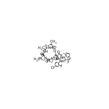 C[C@@H]1C[C@H]2C(=O)OC[C@H](NC(=O)[C@H](Cc3cccc(C(F)(F)F)c3)NC(=O)Nc3ccc(Cl)cc3F)C(=O)N3CCC[C@H]3C(=O)N3CCN(C)C[C@H]3C(=O)N[C@@H](C)C(=O)N2C1